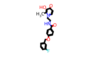 Cc1c(O)c(=O)ccn1CCNC(=O)c1ccc(OCc2cccc(F)c2)cc1